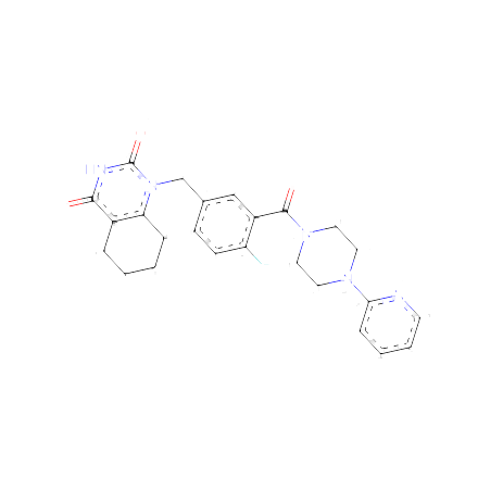 O=C(c1cc(Cn2c3c(c(=O)[nH]c2=O)CCCC3)ccc1F)N1CCN(c2ccccn2)CC1